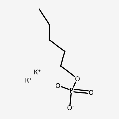 CCCCCOP(=O)([O-])[O-].[K+].[K+]